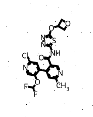 Cc1cc(-c2cc(Cl)ncc2OC(F)F)c(C(=O)Nc2nnc(OC3COC3)s2)cn1